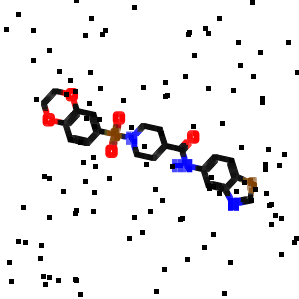 O=C(Nc1ccc2scnc2c1)C1CCN(S(=O)(=O)c2ccc3c(c2)OCCO3)CC1